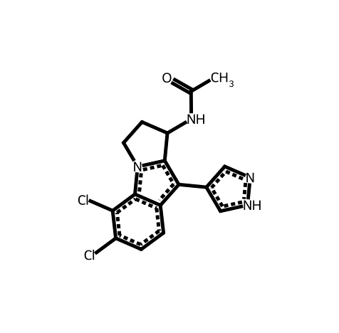 CC(=O)NC1CCn2c1c(-c1cn[nH]c1)c1ccc(Cl)c(Cl)c12